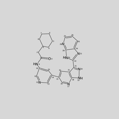 O=C(CC1CCCCC1)Nc1cncc(-c2cnc3[nH]nc(-c4nc5cccnc5[nH]4)c3c2)c1